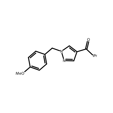 COc1ccc(Cn2cc(C(=O)C(C)C)cn2)cc1